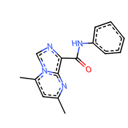 Cc1cc(C)n2cnc(C(=O)Nc3ccccc3)c2n1